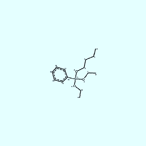 CCCCO[Si](OCC)(OCC)c1ccccc1